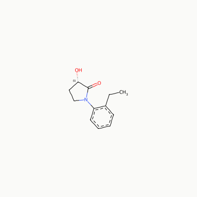 CCc1ccccc1N1CC[C@H](O)C1=O